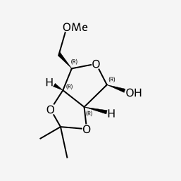 COC[C@H]1O[C@@H](O)[C@@H]2OC(C)(C)O[C@@H]21